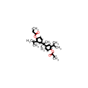 C=CC(=O)Oc1ccc(C(C)(C)c2ccc(OC(=O)C=C)c(C(C)C)c2)cc1C(C)C